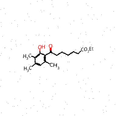 CCOC(=O)CCCCCC(=O)c1c(C)cc(C)c(C)c1O